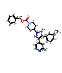 Cn1c(C2CCN(C(=O)OCc3ccccc3)CC2)nc(-c2ccnc(F)c2)c1-c1cccc(C(F)(F)F)c1